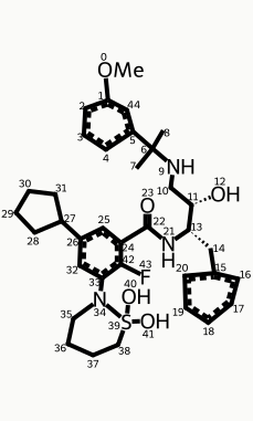 COc1cccc(C(C)(C)NC[C@H](O)[C@H](Cc2ccccc2)NC(=O)c2cc(C3CCCC3)cc(N3CCCCS3(O)O)c2F)c1